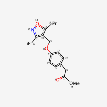 COC(=O)Cc1ccc(OCc2c(C(C)C)noc2C(C)C)cc1